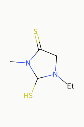 CCN1CC(=S)N(C)C1S